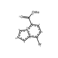 COC(=O)c1ccc(Br)c2cncn12